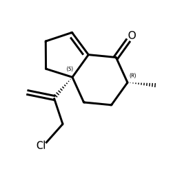 C=C(CCl)[C@]12CCC=C1C(=O)[C@H](C)CC2